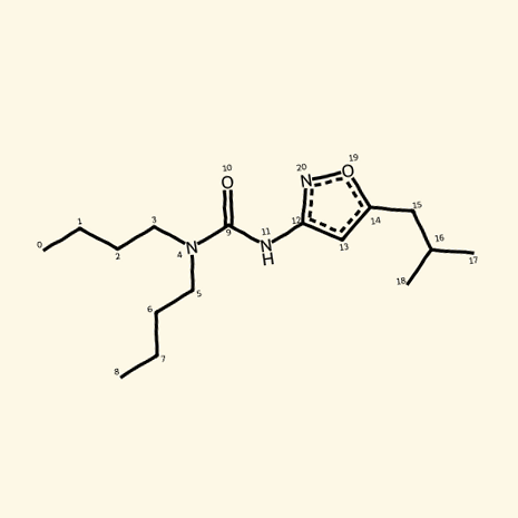 CCCCN(CCCC)C(=O)Nc1cc(CC(C)C)on1